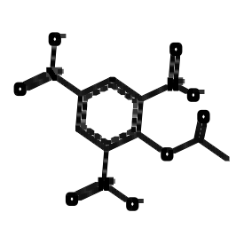 CC(=O)Oc1c([N+](=O)[O-])cc([N+](=O)[O-])cc1[N+](=O)[O-]